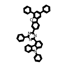 c1ccc(-c2cc(-c3ccccc3)c3oc4cc(-c5nc(-c6ccccc6)nc(-c6cccc7c6c6ccccc6n7-c6ccccc6)n5)ccc4c3c2)cc1